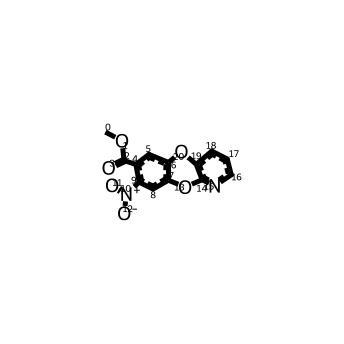 COC(=O)c1cc2c(cc1[N+](=O)[O-])Oc1ncccc1O2